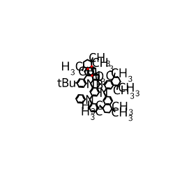 CC(C)(C)c1ccc(N2c3cc(N(c4ccccc4)c4ccccc4)cc4c3B(c3cc5c(cc3N4c3ccc4c(c3)C(C)(C)CCC4(C)C)C(C)(C)CCC5(C)C)c3oc4cc5c(cc4c32)C(C)(C)CCC5(C)C)c(-c2ccccc2)c1